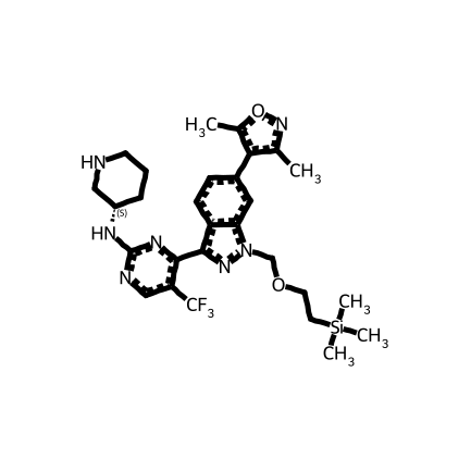 Cc1noc(C)c1-c1ccc2c(-c3nc(N[C@H]4CCCNC4)ncc3C(F)(F)F)nn(COCC[Si](C)(C)C)c2c1